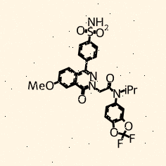 COc1ccc2c(-c3ccc(S(N)(=O)=O)cc3)nn(CC(=O)N(c3ccc4c(c3)OC(F)(F)O4)C(C)C)c(=O)c2c1